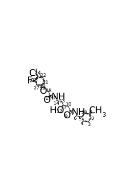 Cc1cccc(CNC(=O)CC(O)CCNC(=O)COc2ccc(Cl)c(F)c2)c1